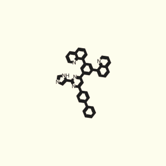 c1ccc(-c2ccc(-c3cc(-c4cc(-c5cccc6cccnc56)cc(-c5cccc6cccnc56)c4)nc(-c4cnc[nH]4)n3)cc2)cc1